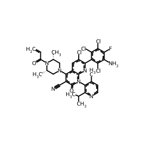 C=CC(=O)N1[C@H](C)CN(c2c(C#N)c(=O)n(-c3c(C)ccnc3C(C)C)c3nc(-c4c(Cl)c(N)c(F)c(Cl)c4Cl)c(Cl)cc23)C[C@@H]1C